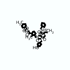 C=CCN1CC(=O)N2[C@@H](Cc3ccc(O)cc3)C(=O)N(Cc3cccc(C(Cl)/C=N/S(=O)(=O)c4ccc(C)cc4)c3C)C[C@@H]2N1C(=O)NCc1ccccc1